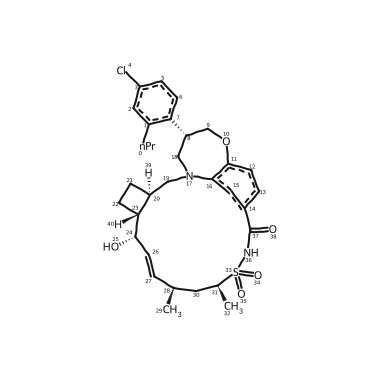 CCCc1cc(Cl)ccc1[C@@H]1COc2ccc3cc2N(C1)C[C@@H]1CC[C@H]1[C@@H](O)/C=C/[C@H](C)C[C@H](C)S(=O)(=O)NC3=O